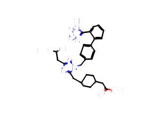 CC(C)Cc1nc(CC2CCC(CC(=O)O)CC2)n(Cc2ccc(-c3ccccc3-c3nnn[nH]3)cc2)n1